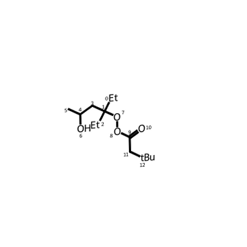 CCC(CC)(CC(C)O)OOC(=O)CC(C)(C)C